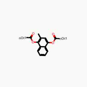 CCCCCCCCC(=O)Oc1cc(C)c(OC(=O)CCCCCCCC)c2ccccc12